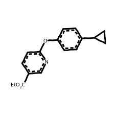 CCOC(=O)c1ccc(Oc2ccc(C3CC3)cc2)nc1